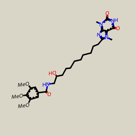 COc1cc(C(=O)NCC(O)CCCCCCCCCc2nc3c(c(=O)[nH]c(=O)n3C)n2C)cc(OC)c1OC